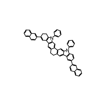 C1=C(c2ccc3ccccc3c2)CCc2c1c1cc3c(cc1n2-c1ccccc1)-c1cc2c(cc1CC3)c1cc(-c3ccc4ccccc4c3)ccc1n2-c1ccccc1